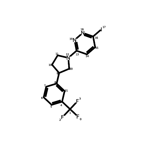 FC(F)(F)c1cccc(C2CCN(c3ccc(I)nn3)C2)c1